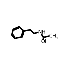 CC(O)NCCc1ccccc1